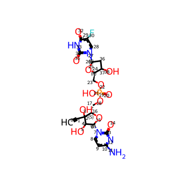 C#CC1(O)C(O)[C@@H](n2ccc(N)nc2=O)O[C@H]1COP(=O)(O)OC[C@H]1O[C@@H](n2cc(F)c(=O)[nH]c2=O)CC1O